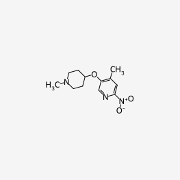 Cc1cc([N+](=O)[O-])ncc1OC1CCN(C)CC1